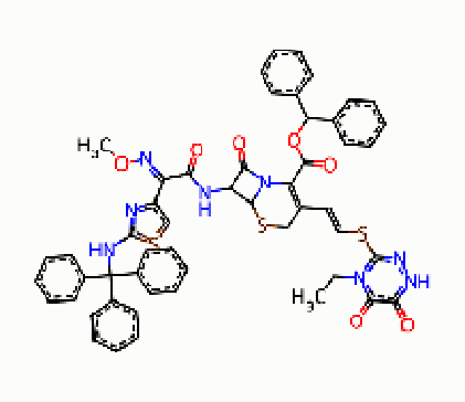 CCn1c(S/C=C/C2=C(C(=O)OC(c3ccccc3)c3ccccc3)N3C(=O)C(NC(=O)/C(=N/OC)c4csc(NC(c5ccccc5)(c5ccccc5)c5ccccc5)n4)C3SC2)n[nH]c(=O)c1=O